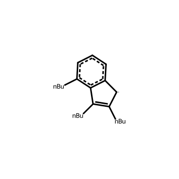 CCCCC1=C(CCCC)c2c(cccc2CCCC)[CH]1